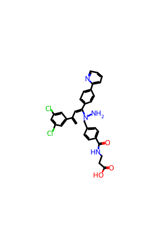 C=C(/C=C(/c1ccc(-c2ccccn2)cc1)N(N)Cc1ccc(C(=O)NCCC(=O)O)cc1)c1cc(Cl)cc(Cl)c1